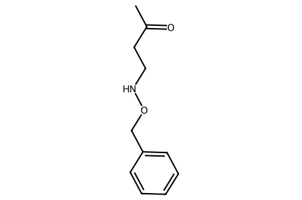 CC(=O)CCNOCc1ccccc1